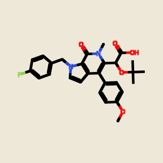 COc1ccc(-c2c(C(OC(C)(C)C)C(=O)O)n(C)c(=O)c3c2ccn3Cc2ccc(F)cc2)cc1